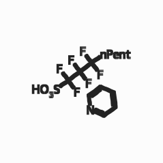 CCCCCC(F)(F)C(F)(F)C(F)(F)S(=O)(=O)O.c1ccncc1